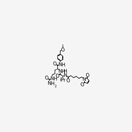 CC(C)[C@H](NC(=O)CCCCCN1C(=O)C=CC1=O)C(=O)N[C@@H](CCCNC(N)=O)C(=O)Nc1ccc(COI)cc1